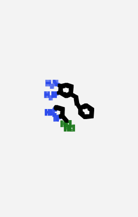 Cc1cc[nH]n1.Cl.Cl.Nc1ccc(C=Cc2ccccc2)cc1N